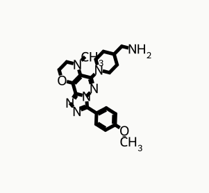 COc1ccc(-c2nnc3c4c(c(N5CCC(CN)CC5)nn23)N(C)CCO4)cc1